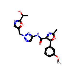 Cc1nc(C(=O)Nc2cnn(Cc3cnc(C(C)O)o3)n2)c(-c2cccc(OC(F)(F)F)c2)o1